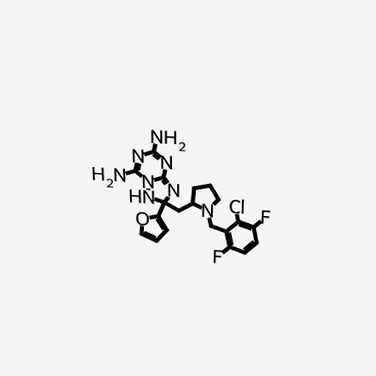 NC1=NC2=NC(CC3CCCN3Cc3c(F)ccc(F)c3Cl)(c3ccco3)NN2C(N)=N1